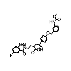 COC(=O)Nc1cccc(COc2ccc(C(=O)CC(CCn3nnc4ccc(F)cc4c3=O)C(=O)O)cc2)c1